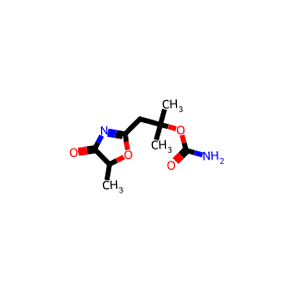 CC1OC(CC(C)(C)OC(N)=O)=NC1=O